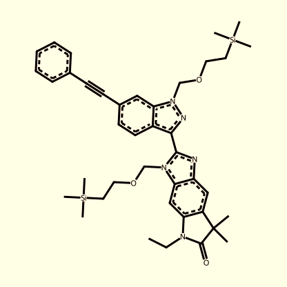 CCN1C(=O)C(C)(C)c2cc3nc(-c4nn(COCC[Si](C)(C)C)c5cc(C#Cc6ccccc6)ccc45)n(COCC[Si](C)(C)C)c3cc21